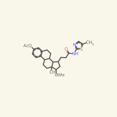 COC1CC(CCC(=O)Nc2ncc(C)s2)C2C3CCc4cc(OC(C)=O)ccc4C3CCC12C